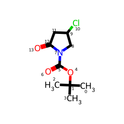 CC(C)(C)OC(=O)N1CC(Cl)CC1=O